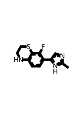 Cc1ncc(-c2ccc3c(c2F)SCCN3)[nH]1